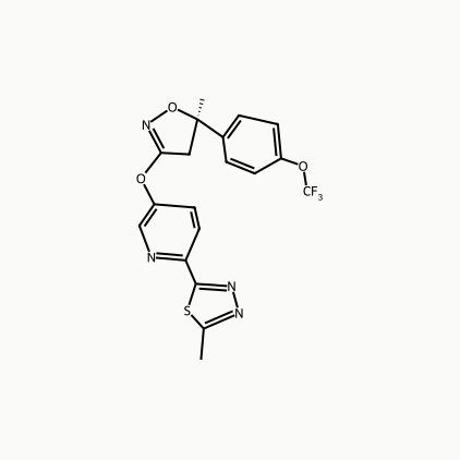 Cc1nnc(-c2ccc(OC3=NO[C@@](C)(c4ccc(OC(F)(F)F)cc4)C3)cn2)s1